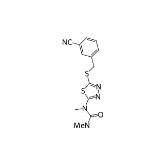 CNC(=O)N(C)c1nnc(SCc2cccc(C#N)c2)s1